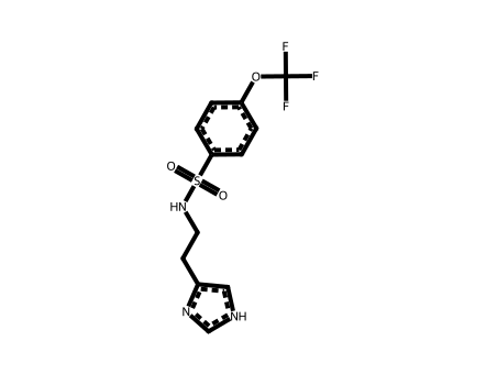 O=S(=O)(NCCc1c[nH]cn1)c1ccc(OC(F)(F)F)cc1